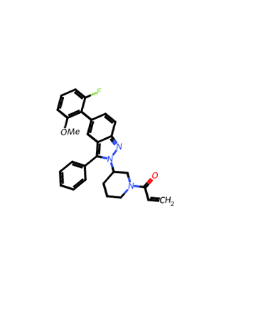 C=CC(=O)N1CCCC(n2nc3ccc(-c4c(F)cccc4OC)cc3c2-c2ccccc2)C1